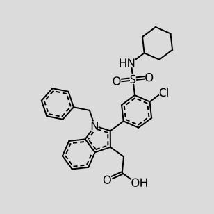 O=C(O)Cc1c(-c2ccc(Cl)c(S(=O)(=O)NC3CCCCC3)c2)n(Cc2ccccc2)c2ccccc12